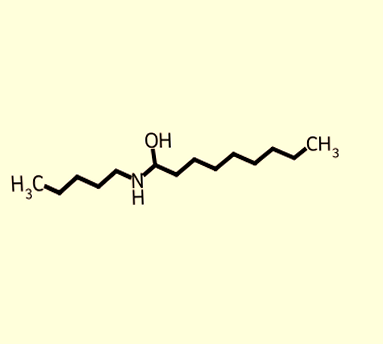 CCCCCCCCC(O)NCCCCC